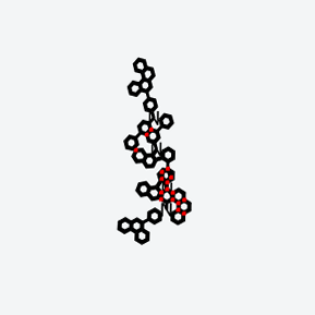 c1ccc(-c2ccc(N(c3ccc(-c4cc5ccc6ccccc6c5c5ccccc45)cc3)c3ccccc3-c3cccc(-n4c5cccc(-c6ccc(-c7ccc(N(c8ccc(-c9cc%10ccccc%10c%10ccccc9%10)cc8)c8ccccc8-c8cccc(-n9c%10ccccc%10c%10c%11ccccc%11ccc%109)c8)c(-c8ccccc8)c7)cc6)c5c5ccc6ccccc6c54)c3)cc2)cc1